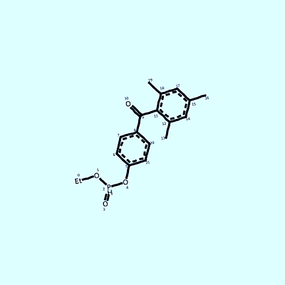 CCO[PH](=O)Oc1ccc(C(=O)c2c(C)cc(C)cc2C)cc1